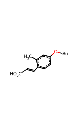 CCC(C)Oc1ccc(C=CC(=O)O)c(C)c1